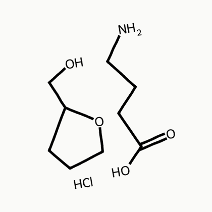 Cl.NCCCC(=O)O.OCC1CCCO1